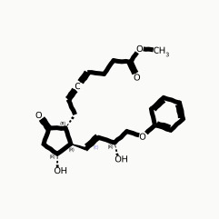 COC(=O)CCC=C=CC[C@H]1C(=O)C[C@@H](O)[C@@H]1/C=C/[C@@H](O)COc1ccccc1